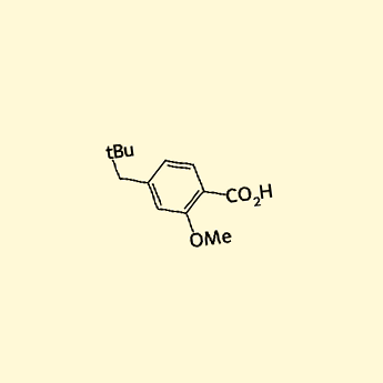 COc1cc(CC(C)(C)C)ccc1C(=O)O